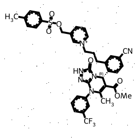 COC(=O)C1=C(C)N(c2cccc(C(F)(F)F)c2)c2n[nH]c(=O)n2[C@@H]1c1ccc(C#N)cc1CCC[n+]1cccc(COS(=O)(=O)c2ccc(C)cc2)c1